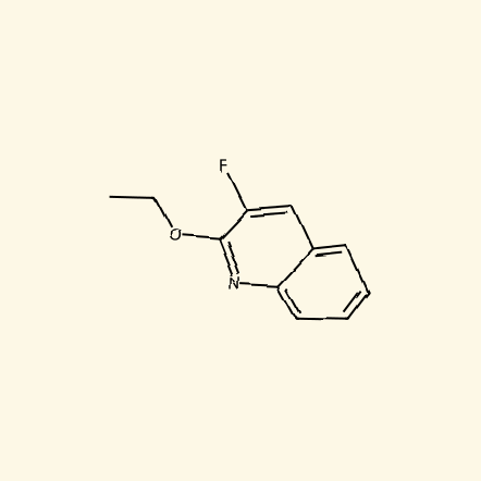 CCOc1nc2ccccc2cc1F